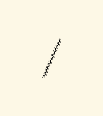 [CH]=CC=CC=CC=CC=CC=CC=CC=CC=CCCCCCCC